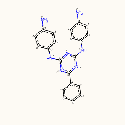 Nc1ccc(Nc2nc(Nc3ccc(N)cc3)nc(-c3ccccc3)n2)cc1